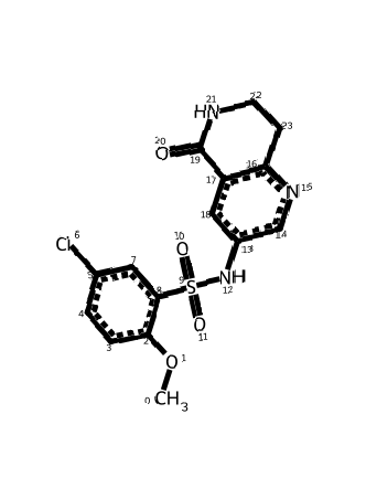 COc1ccc(Cl)cc1S(=O)(=O)Nc1cnc2c(c1)C(=O)NCC2